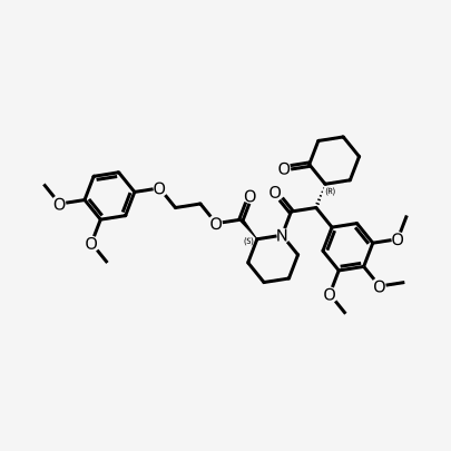 COc1ccc(OCCOC(=O)[C@@H]2CCCCN2C(=O)C(c2cc(OC)c(OC)c(OC)c2)[C@H]2CCCCC2=O)cc1OC